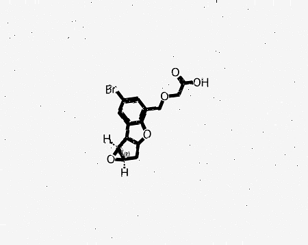 O=C(O)COCc1cc(Br)cc2c1OC1C[C@H]3O[C@H]3C21